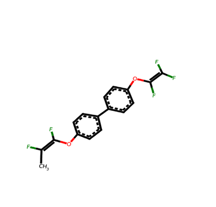 C/C(F)=C(/F)Oc1ccc(-c2ccc(OC(F)=C(F)F)cc2)cc1